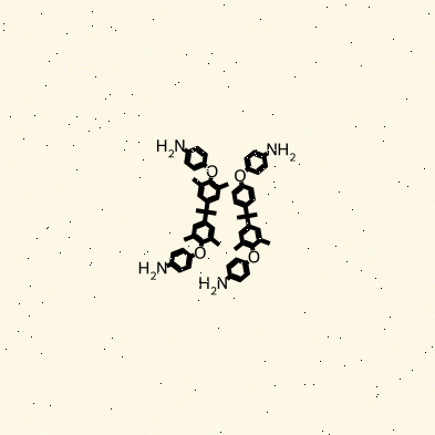 Cc1cc(C(C)(C)c2cc(C)c(Oc3ccc(N)cc3)c(C)c2)cc(C)c1Oc1ccc(N)cc1.Cc1cc(C(C)(C)c2ccc(Oc3ccc(N)cc3)cc2)cc(C)c1Oc1ccc(N)cc1